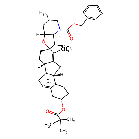 CC1=C2C[C@H]3C(CC=C4C[C@@H](OC(=O)C(C)(C)C)CC[C@@]43C)[C@@H]2CC[C@]12O[C@@H]1C[C@H](C)CN(C(=O)OCc3ccccc3)[C@H]1[C@H]2C